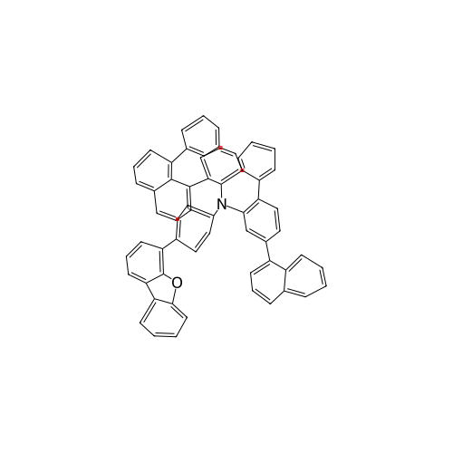 c1ccc(-c2ccc(-c3cccc4ccccc34)cc2N(c2ccc(-c3cccc4c3oc3ccccc34)cc2)c2ccccc2-c2cccc3cccc(-c4ccccc4)c23)cc1